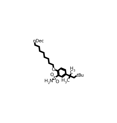 CCCCCCCCCCCCCCCCCCOc1ccc(C(C)(C)CC(C)(C)C)cc1S(N)(=O)=O